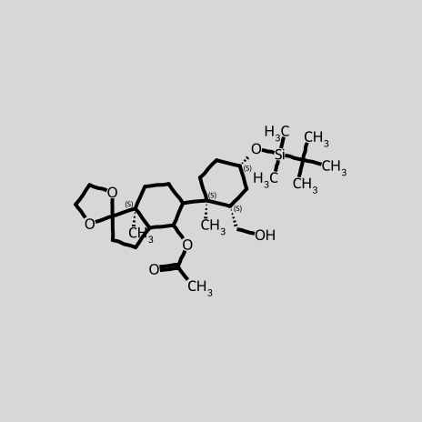 CC(=O)OC1C2CCC3(OCCO3)[C@@]2(C)CCC1[C@@]1(C)CC[C@H](O[Si](C)(C)C(C)(C)C)C[C@@H]1CO